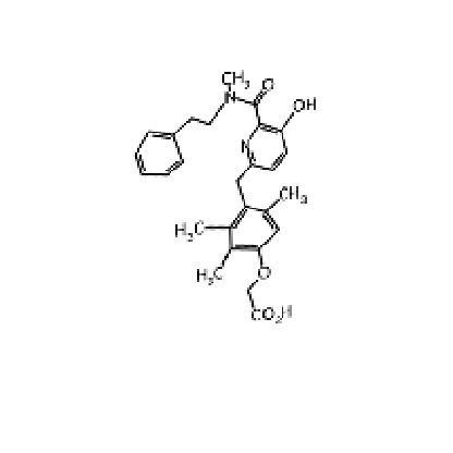 Cc1cc(OCC(=O)O)c(C)c(C)c1Cc1ccc(O)c(C(=O)N(C)CCc2ccccc2)n1